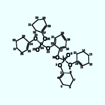 O=P(OC1=CCCCC1)(OC1=CCCCC1)Oc1ccccc1OP(=O)(OC1=CCCCC1)OC1=CCCCC1